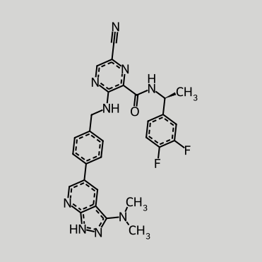 C[C@H](NC(=O)c1nc(C#N)cnc1NCc1ccc(-c2cnc3[nH]nc(N(C)C)c3c2)cc1)c1ccc(F)c(F)c1